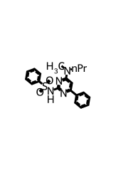 CCCN(C)c1cc(-c2ccccc2)nc(NS(=O)(=O)c2ccccc2)n1